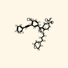 CS(=O)(=O)N1CCc2c(c(-c3ccc(Cl)c(C#Cc4cccnc4)c3)nn2CCCN2CCOCC2)C1